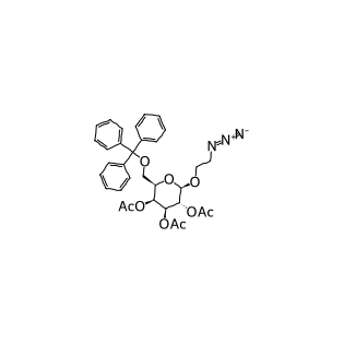 CC(=O)O[C@H]1[C@@H](OC(C)=O)[C@@H](COC(c2ccccc2)(c2ccccc2)c2ccccc2)O[C@@H](OCCN=[N+]=[N-])[C@@H]1OC(C)=O